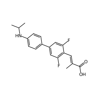 C/C(=C\c1c(F)cc(-c2ccc(NC(C)C)cc2)cc1F)C(=O)O